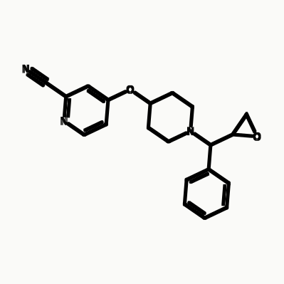 N#Cc1cc(OC2CCN(C(c3ccccc3)C3CO3)CC2)ccn1